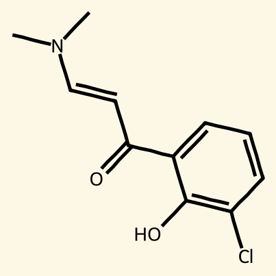 CN(C)C=CC(=O)c1cccc(Cl)c1O